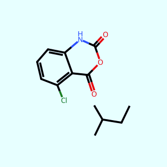 CCC(C)C.O=c1[nH]c2cccc(Cl)c2c(=O)o1